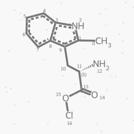 Cc1[nH]c2ccccc2c1C[C@H](N)C(=O)OCl